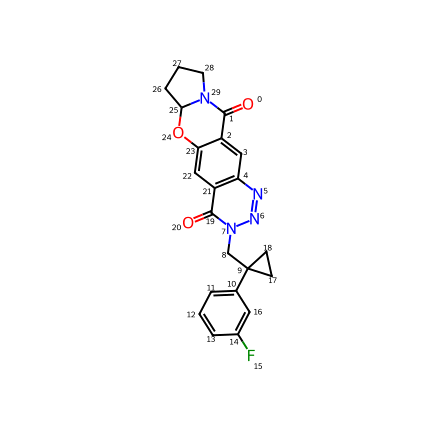 O=C1c2cc3nnn(CC4(c5cccc(F)c5)CC4)c(=O)c3cc2OC2CCCN12